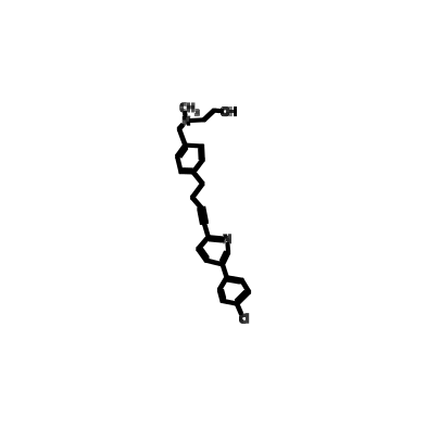 CN(CCO)Cc1ccc(CCC#Cc2ccc(-c3ccc(Cl)cc3)cn2)cc1